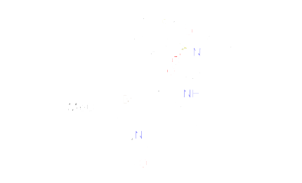 COCCCN1C(=O)c2cccc3c(NC(=O)C4CCCCN4S(=O)(=O)c4cccs4)cc(Br)c1c23